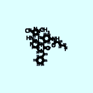 Cn1cc(Nc2ncc3c(n2)N(c2cc(NC(=O)/C=C/CF)ccc2F)C(=O)N(Cc2ccccc2)C3)c(Cl)n1